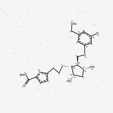 COC(=O)c1ccc(CCC[C@@H]2[C@@H](COc3cc(Cl)cc(COC(C)=O)c3)[C@H](O)C[C@@H]2O)s1